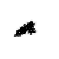 Cc1ccc(C2=C[C@](C)(CC3OCCO3)CN(S(=O)(=O)c3ccc(C)cc3)C2)cc1